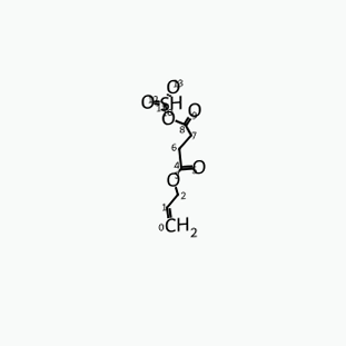 C=CCOC(=O)CCC(=O)O[SH](=O)=O